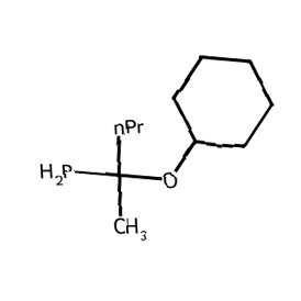 CCCC(C)(P)OC1CCCCC1